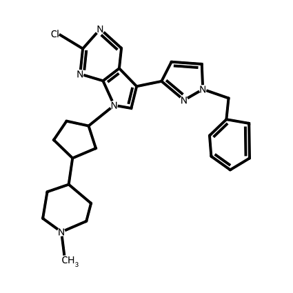 CN1CCC(C2CCC(n3cc(-c4ccn(Cc5ccccc5)n4)c4cnc(Cl)nc43)C2)CC1